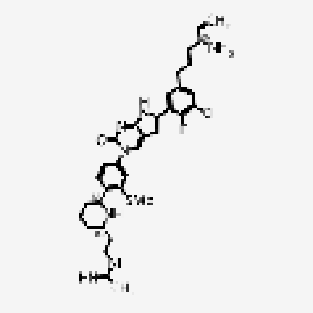 C=C[C@@H](N)CCCc1cc(Cl)c(F)c(-c2cc3cn(-c4ccc([C@@H]5CCC[C@@H](CCNC(C)=N)N5)c(SC)c4)c(=O)nc3[nH]2)c1